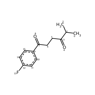 CC(C)C(=O)CCC(=O)c1ccc(F)cc1